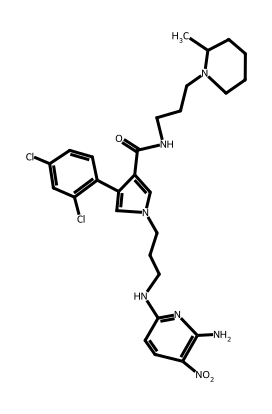 CC1CCCCN1CCCNC(=O)c1cn(CCCNc2ccc([N+](=O)[O-])c(N)n2)cc1-c1ccc(Cl)cc1Cl